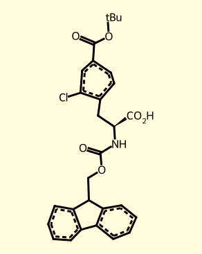 CC(C)(C)OC(=O)c1ccc(C[C@H](NC(=O)OCC2c3ccccc3-c3ccccc32)C(=O)O)c(Cl)c1